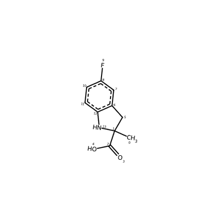 CC1(C(=O)O)Cc2cc(F)ccc2N1